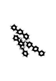 c1ccc(-c2ccc(-c3ccc(N(c4cccc(-c5ccc(-c6ccccc6)cc5)c4)c4c5oc(-c6ccccc6)nc5cc5c4oc4ccccc45)cc3)cc2)cc1